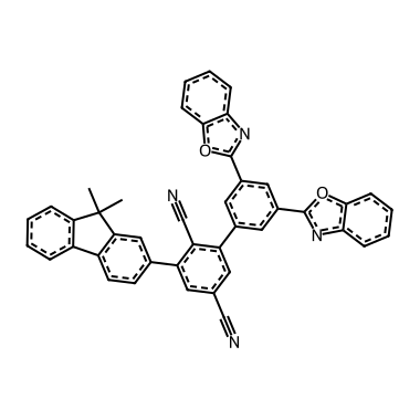 CC1(C)c2ccccc2-c2ccc(-c3cc(C#N)cc(-c4cc(-c5nc6ccccc6o5)cc(-c5nc6ccccc6o5)c4)c3C#N)cc21